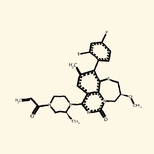 C=CC(=O)N1CCN(c2nc(=O)n3c4c(c(-c5ccc(F)cc5F)c(C)cc24)SC[C@@H](OC)C3)[C@@H](C)C1